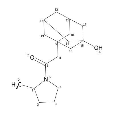 CC1CCCN1C(=O)CC12CC3CC(CC(O)(C3)C1)C2